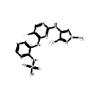 Cc1nn(C)cc1Nc1ncc(F)c(Nc2ccccc2NS(C)(=O)=O)n1